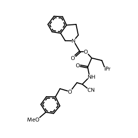 COc1ccc(COCC(C#N)NC(=O)C(CC(C)C)OC(=O)N2CCc3ccccc3C2)cc1